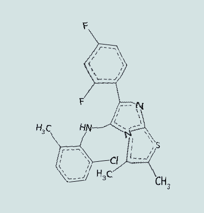 Cc1cccc(Cl)c1Nc1c(-c2ccc(F)cc2F)nc2sc(C)c(C)n12